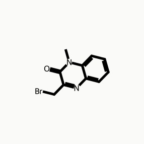 Cn1c(=O)c(CBr)nc2ccccc21